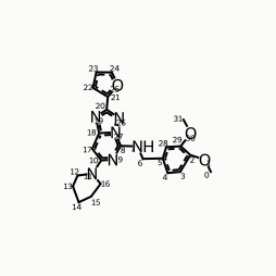 COc1ccc(CNc2nc(N3CCCCC3)cc3nc(-c4ccco4)nn23)cc1OC